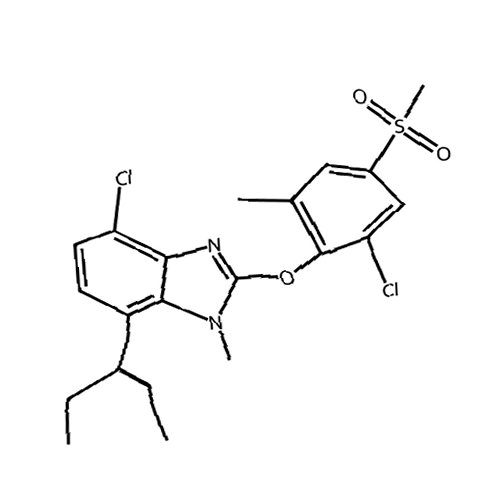 CCC(CC)c1ccc(Cl)c2nc(Oc3c(C)cc(S(C)(=O)=O)cc3Cl)n(C)c12